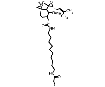 COC1C(OC(=O)NCCCCCCCCCCNC(=O)CI)CC[C@]2(CO2)C1C1(C)O[C@@H]1CC=C(C)C